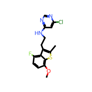 COc1ccc(F)c2c(CCNc3cc(Cl)ncn3)c(C)sc12